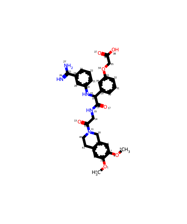 COc1cc2c(cc1OC)CN(C(=O)CNC(=O)C(Nc1cccc(C(=N)N)c1)c1cccc(OCC(=O)O)c1)CC2